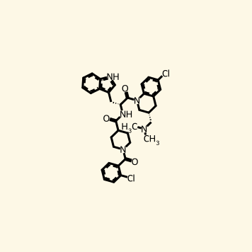 CN(C)C[C@H]1Cc2cc(Cl)ccc2N(C(=O)[C@@H](Cc2c[nH]c3ccccc23)NC(=O)C2CCN(C(=O)c3ccccc3Cl)CC2)C1